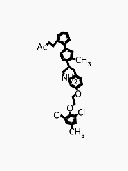 CC(=O)CCc1ccccc1-c1ccc(C(CN)Cc2ccc(OCCOc3c(Cl)cc(C)cc3Cl)cc2)c(C)c1